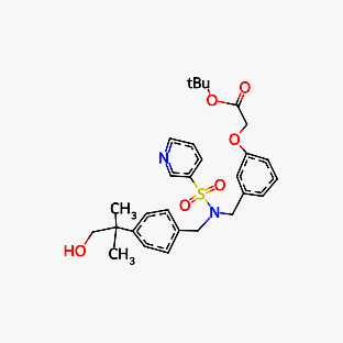 CC(C)(C)OC(=O)COc1cccc(CN(Cc2ccc(C(C)(C)CO)cc2)S(=O)(=O)c2cccnc2)c1